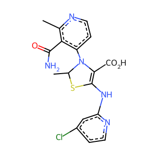 Cc1nccc(N2C(C(=O)O)=C(Nc3cc(Cl)ccn3)SC2C)c1C(N)=O